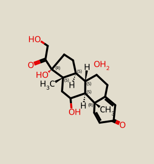 C[C@]12C=CC(=O)C=C1CC[C@@H]1[C@@H]2C(O)C[C@@]2(C)[C@H]1CC[C@]2(O)C(=O)CO.O